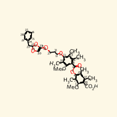 COc1c(C)c(OC(=O)c2c(C)c(C)c(OCCCOC3=COC(Cc4ccccc4)O3)c(C)c2OC)c(C)c(C)c1C(=O)O